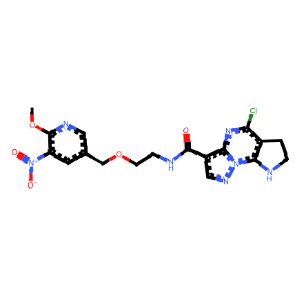 COc1ncc(COCCNC(=O)c2cnn3c4c(c(Cl)nc23)CCN4)cc1[N+](=O)[O-]